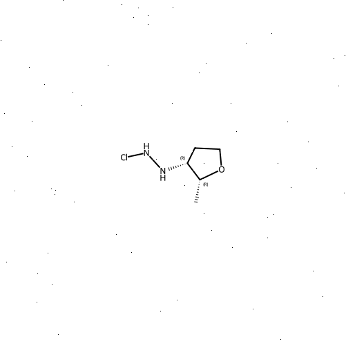 C[C@H]1OCC[C@H]1NNCl